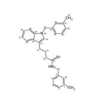 Cc1cccc(CNC(=O)CCCc2cn(Cc3cccc(C)c3)c3ccccc23)c1